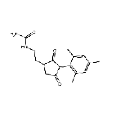 Cc1cc(C)c(C2C(=O)CC(CCNC(N)=O)C2=O)c(C)c1